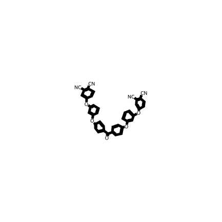 N#Cc1ccc(Oc2cccc(Oc3ccc(C(=O)c4ccc(Oc5cccc(Oc6ccc(C#N)c(C#N)c6)c5)cc4)cc3)c2)cc1C#N